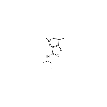 CCC(C)NC(=O)c1cc(C)cc(C)c1OC